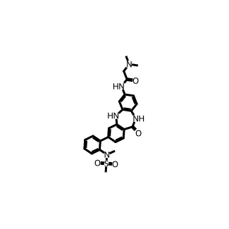 CN(C)CC(=O)Nc1ccc2c(c1)Nc1cc(-c3ccccc3N(C)S(C)(=O)=O)ccc1C(=O)N2